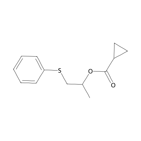 CC(CSc1ccccc1)OC(=O)C1CC1